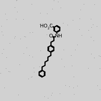 O=C(CCc1ccc(CCCCCCc2ccccc2)cc1)Nc1cccc(C(=O)O)c1